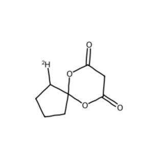 [2H]C1CCCC12OC(=O)CC(=O)O2